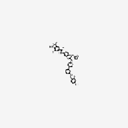 Cc1n[nH]c2c(F)cc(C(=O)Nc3ccc4c(c3)nc(CN3CC=C(c5cccc(OCc6ccc(Cl)cc6F)n5)CC3)n4C[C@@H]3CCO3)cc12